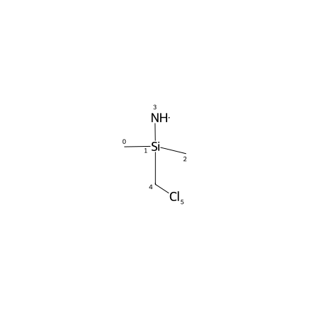 C[Si](C)([NH])CCl